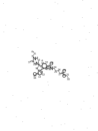 CCCN1C[C@H](C)N([C@H](Cc2sccc2OC)c2ccc(C(=O)NCCCCC(=O)OCC)cc2)C[C@H]1C